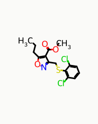 CCCc1onc(CSc2c(Cl)cccc2Cl)c1C(=O)OC